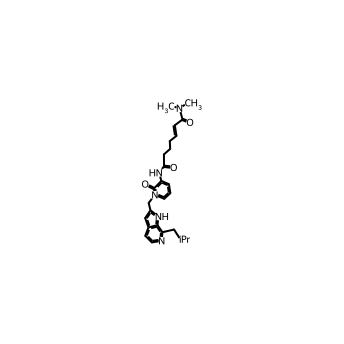 CC(C)Cc1nccc2cc(Cn3cccc(NC(=O)CCC/C=C/C(=O)N(C)C)c3=O)[nH]c12